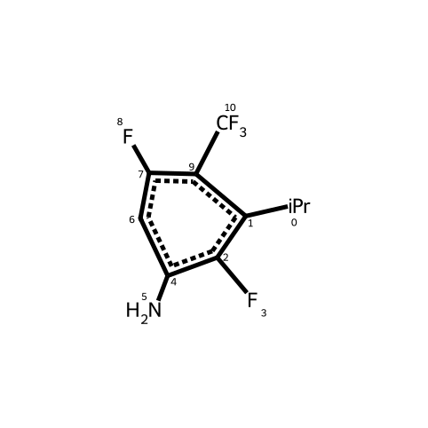 CC(C)c1c(F)c(N)cc(F)c1C(F)(F)F